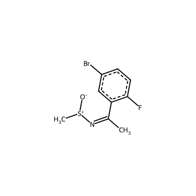 C/C(=N/[S+](C)[O-])c1cc(Br)ccc1F